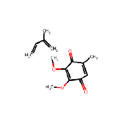 C=CC(=C)C.COC1=C(OC)C(=O)C(C)=CC1=O